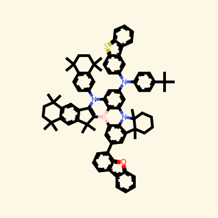 CC(C)(C)c1ccc(N(c2cc3c4c(c2)N2c5c(cc(-c6cccc7c6oc6ccccc67)cc5C5(C)CCCCC25C)B4C2=C(c4cc5c(cc4C2(C)C)C(C)(C)CCC5(C)C)N3c2ccc3c(c2)C(C)(C)CCC3(C)C)c2ccc3sc4ccccc4c3c2)cc1